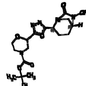 CC(C)(C)OC(=O)N1CCOC(c2nnc([C@@H]3CC[C@@H]4CN3C(=O)N4O)o2)C1